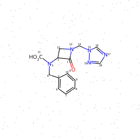 O=C1C(N(Cc2ccccc2)C(=O)O)CN1Cn1cncn1